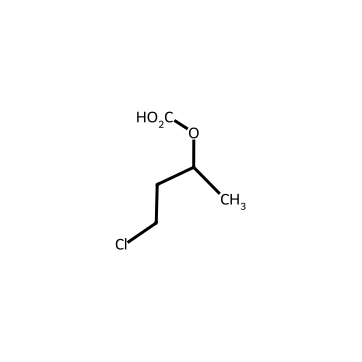 CC(CCCl)OC(=O)O